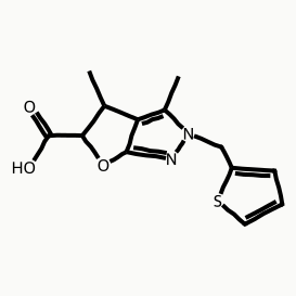 Cc1c2c(nn1Cc1cccs1)OC(C(=O)O)C2C